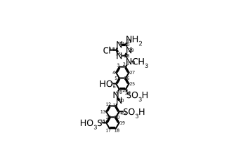 CN(c1ccc2c(O)c(N=Nc3ccc4c(S(=O)(=O)O)cccc4c3S(=O)(=O)O)c(S(=O)(=O)O)cc2c1)c1nc(N)nc(Cl)n1